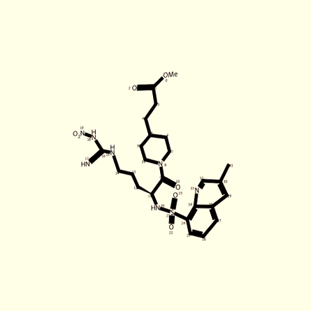 COC(=O)CCC1CCN(C(=O)[C@H](CCCNC(=N)N[N+](=O)[O-])NS(=O)(=O)c2cccc3cc(C)cnc23)CC1